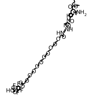 CCCN(OCC)C(=O)C1=Cc2ccc(C(=O)Nc3cnc(NCCNC(=O)CCOCCOCCOCCOCCOCCOCCOCCOCCOCCOCCC(=O)Oc4c(F)c(F)c(S(=O)(=O)O)c(F)c4F)nc3)cc2N=C(N)C1